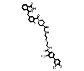 CCn1cc(-c2cnc(C(=O)NCCOCCNCC(=O)N3CCN(C(=O)c4cc(Cc5n[nH]c(=O)c6ccccc56)ccc4F)CC3)c(N)c2)ccc1=O